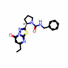 CCc1cc(=O)n2nc([C@H]3CCCN3C(=O)NCc3ccccc3)sc2n1